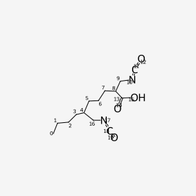 CCCCC(CCCC(CN=C=O)C(=O)O)CN=C=O